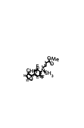 COC(=O)CCCN(C)c1c(F)cc(-c2occc2C=O)cc1F